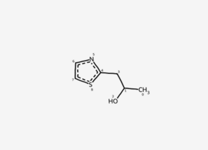 CC(O)Cc1nccs1